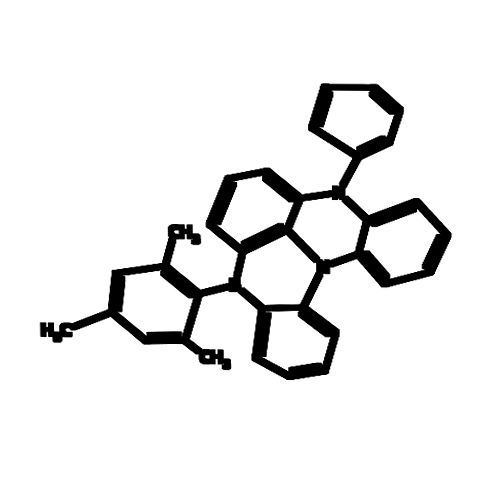 Cc1cc(C)c(B2c3ccccc3N3c4ccccc4N(c4ccccc4)c4cccc2c43)c(C)c1